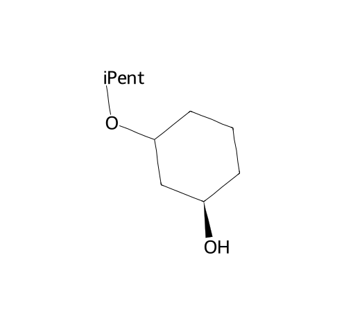 CCCC(C)OC1CCC[C@@H](O)C1